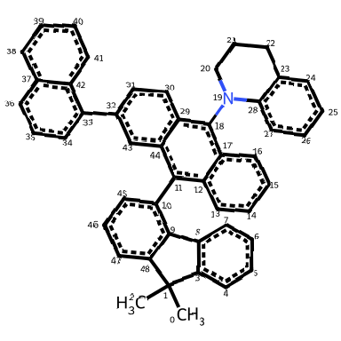 CC1(C)c2ccccc2-c2c(-c3c4ccccc4c(N4CCCc5ccccc54)c4ccc(-c5cccc6ccccc56)cc34)cccc21